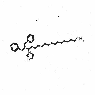 CCCCCCCCCCCCCCCC(C(Cc1ccccc1)Cc1ccccc1)n1ccnc1